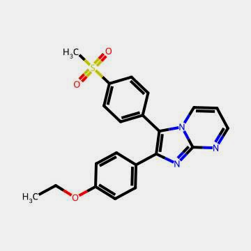 CCOc1ccc(-c2nc3ncccn3c2-c2ccc(S(C)(=O)=O)cc2)cc1